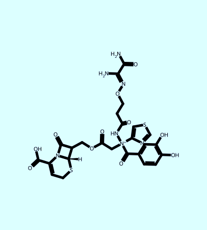 NC(=O)C(N)=NOCCC(=O)N[N+](CC(=O)OCC1C(=O)N2C(C(=O)O)=CCS[C@@H]12)(C(=O)c1ccc(O)c(O)c1)c1cscn1